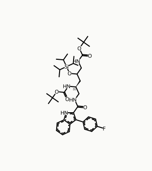 CC(C)[Si](OC(CNC(=O)OC(C)(C)C)C[C@@H](CNC(=O)c1[nH]c2ccccc2c1-c1ccc(F)cc1)NC(=O)OC(C)(C)C)(C(C)C)C(C)C